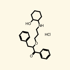 Cl.O=C(c1ccccc1)C(Cc1ccccc1)OCCCNC1CCCCC1O